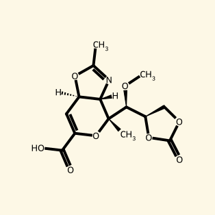 CO[C@@H]([C@H]1COC(=O)O1)[C@]1(C)OC(C(=O)O)=C[C@H]2OC(C)=N[C@@H]21